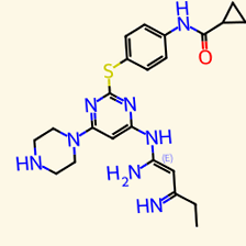 CCC(=N)/C=C(\N)Nc1cc(N2CCNCC2)nc(Sc2ccc(NC(=O)C3CC3)cc2)n1